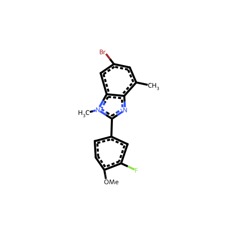 COc1ccc(-c2nc3c(C)cc(Br)cc3n2C)cc1F